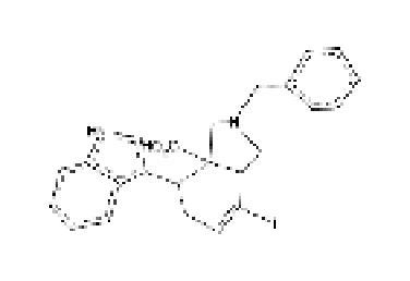 O=C(O)C12CN(Cc3ccccc3)CC1C(I)=CCC2c1c[nH]c2ccccc12